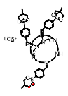 CC12CO[B-](c3ccc(CN4CCNCCN5CCNCCNCCN(CC4)CCN(Cc4ccc([B-]67OCC(C)(CO6)CO7)cc4)CCN(Cc4ccc([B-]67CC(C)(CO6)CO7)cc4)CC5)cc3)(OC1)OC2.[Li+].[Li+].[Li+]